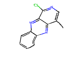 Cc1cnc(Cl)c2nc3ccccc3nc12